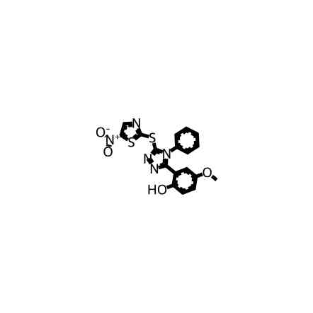 COc1ccc(O)c(-c2nnc(Sc3ncc([N+](=O)[O-])s3)n2-c2ccccc2)c1